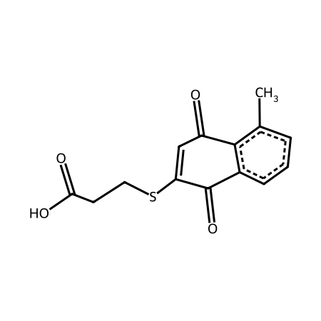 Cc1cccc2c1C(=O)C=C(SCCC(=O)O)C2=O